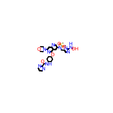 Cn1c(CN(c2cnc3cc(N4CCOCC4)nc(O[C@H]4CC[C@@H](NC(=O)c5ncccn5)CC4)c3c2)S(C)(=O)=O)cnc1NO